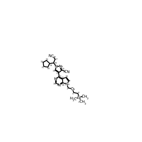 C[Si](C)(C)CCOCn1ccc2c(-c3cn(C(CC#N)C4CCCC4)nc3C#N)ncnc21